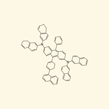 C1=Cc2cc(N(c3ccc4c(c3)CCC=C4)c3ccc4c(C5=CC=C(c6cccc7ccccc67)CC5)c5cc(N(c6ccc7ccccc7c6)c6ccc7ccccc7c6)ccc5c(-c5ccccc5)c4c3)ccc2CC1